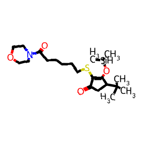 C[SiH](C)OC1=C(SCCCCCC(=O)N2CCOCC2)C(=O)CC1C(C)(C)C